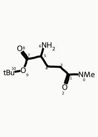 CNC(=O)CCC(N)C(=O)OC(C)(C)C